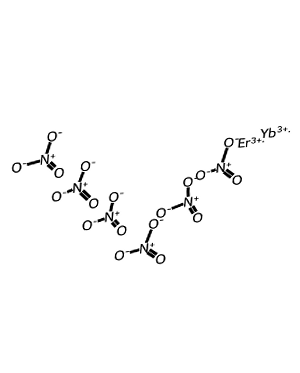 O=[N+]([O-])[O-].O=[N+]([O-])[O-].O=[N+]([O-])[O-].O=[N+]([O-])[O-].O=[N+]([O-])[O-].O=[N+]([O-])[O-].[Er+3].[Yb+3]